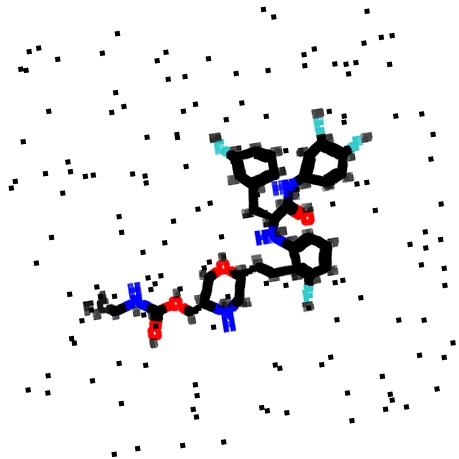 O=C(NCC(F)(F)F)OC[C@@H]1CO[C@H](CCc2c(F)cccc2N[C@@H](Cc2cccc(F)c2)C(=O)Nc2ccc(F)c(F)c2)CN1